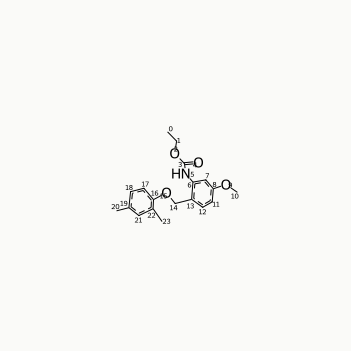 CCOC(=O)Nc1cc(OC)ccc1COc1ccc(C)cc1C